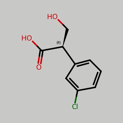 O=C(O)[C@@H](CO)c1cccc(Cl)c1